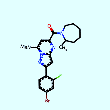 CNc1cc(C(=O)N2CCCCCC2C)nc2cc(-c3ccc(Br)cc3F)nn12